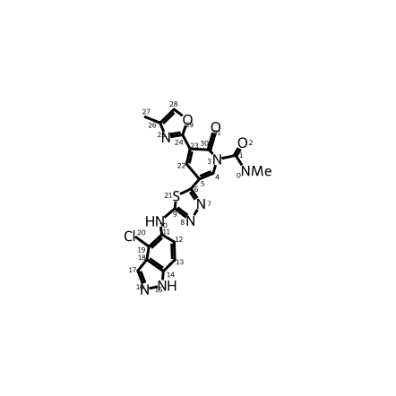 CNC(=O)n1cc(-c2nnc(Nc3ccc4[nH]ncc4c3Cl)s2)cc(-c2nc(C)co2)c1=O